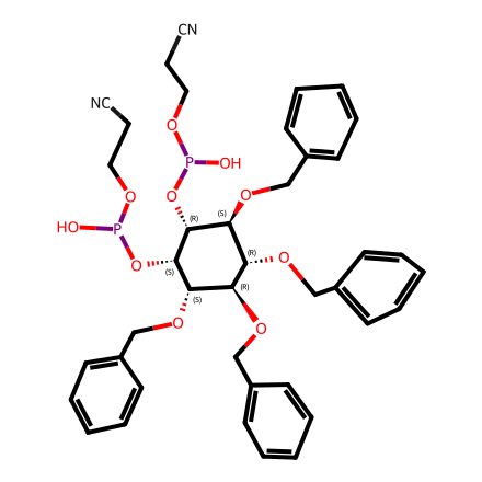 N#CCCOP(O)O[C@@H]1[C@@H](OCc2ccccc2)[C@H](OCc2ccccc2)[C@@H](OCc2ccccc2)[C@H](OCc2ccccc2)[C@@H]1OP(O)OCCC#N